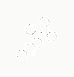 c1ccc(C2(c3ccc4c(c3)Oc3ccccc3O4)c3ccccc3-c3ccccc32)cc1